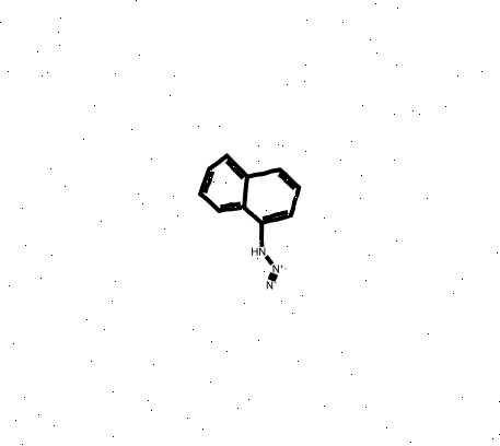 [N-]=[N+]Nc1cccc2ccccc12